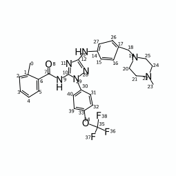 Cc1ccccc1C(=O)Nc1nc(Nc2ccc(CN3CCN(C)CC3)cc2)nn1-c1ccc(OC(F)(F)F)cc1